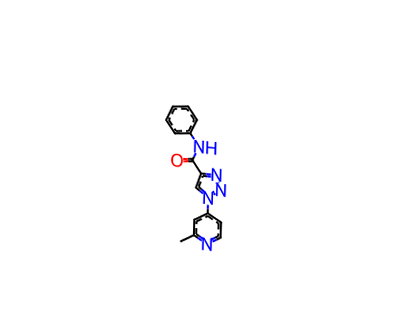 Cc1cc(-n2cc(C(=O)Nc3ccccc3)nn2)ccn1